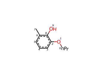 [CH2]CCOc1cccc(C)c1O